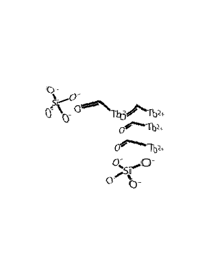 O=[CH][Tb+2].O=[CH][Tb+2].O=[CH][Tb+2].O=[CH][Tb+2].[O-][Si]([O-])([O-])[O-].[O-][Si]([O-])([O-])[O-]